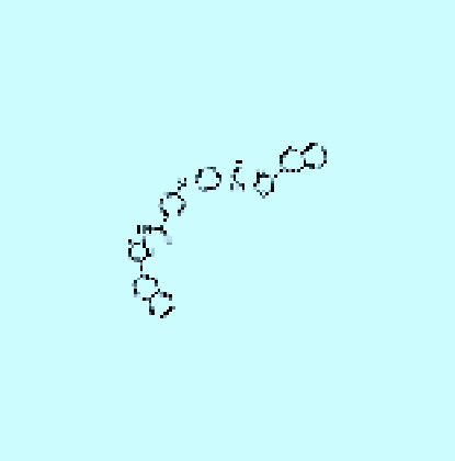 O=C(Nc1nc(-c2ccc3ccccc3c2)cs1)c1ccc(Oc2ccc(C(=O)Nc3nc(-c4ccc5ccccc5c4)cs3)cc2)cc1